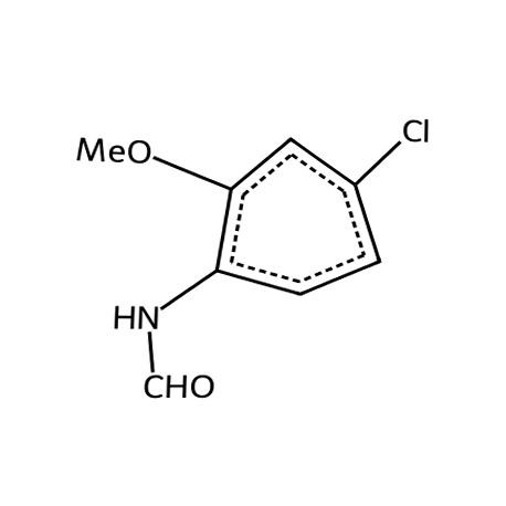 COc1cc(Cl)ccc1NC=O